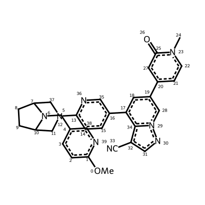 COc1ccc(CN2C3CCC2CN(c2ccc(-c4cc(-c5ccn(C)c(=O)c5)cn5ncc(C#N)c45)cn2)C3)cn1